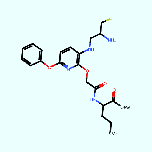 COC(=O)C(CCSC)NC(=O)COc1nc(Oc2ccccc2)ccc1NCC(N)CS